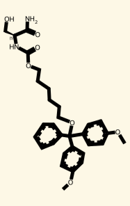 COc1ccc(C(OCCCCCCOC(=O)N[C@@H](CO)C(N)=O)(c2ccccc2)c2ccc(OC)cc2)cc1